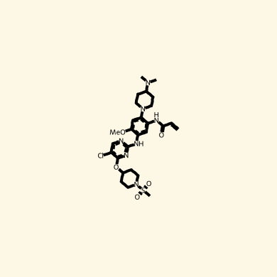 C=CC(=O)Nc1cc(Nc2ncc(Cl)c(OC3CCN(S(C)(=O)=O)CC3)n2)c(OC)cc1N1CCC(N(C)C)CC1